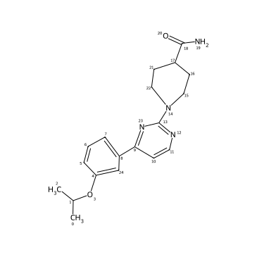 CC(C)Oc1cccc(-c2ccnc(N3CCC(C(N)=O)CC3)n2)c1